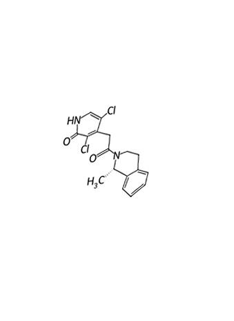 C[C@H]1c2ccccc2CCN1C(=O)Cc1c(Cl)c[nH]c(=O)c1Cl